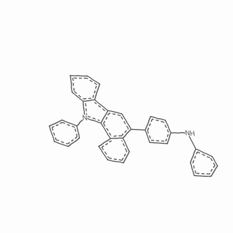 c1ccc(Nc2ccc(-c3cc4c5ccccc5n(-c5ccccc5)c4c4ccccc34)cc2)cc1